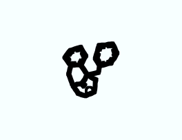 O=C1C2CCCCC1(Cc1ccccc1)c1ccccc1C2